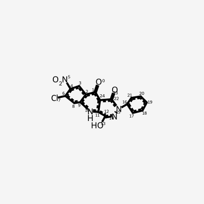 O=c1c2cc([N+](=O)[O-])c(Cl)cc2[nH]c2c(O)nn(-c3ccccc3)c(=O)c12